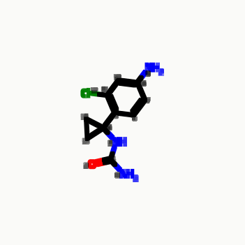 NC(=O)NC1(c2ccc(N)cc2Cl)CC1